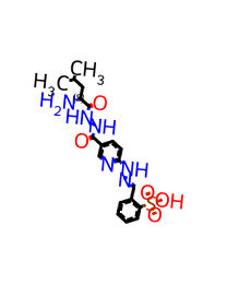 CC(C)C[C@H](N)C(=O)NNC(=O)c1ccc(NN=Cc2ccccc2S(=O)(=O)O)nc1